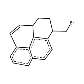 BrCC1CCC2C=Cc3cccc4ccc1c2c34